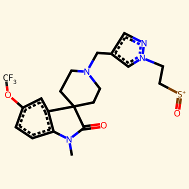 CN1C(=O)C2(CCN(Cc3cnn(CC[S+]=O)c3)CC2)c2cc(OC(F)(F)F)ccc21